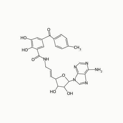 Cc1ccc(C(=O)c2cc(O)c(O)c(C(=O)NCC=CC3OC(n4cnc5c(N)ncnc54)C(O)C3O)c2)cc1